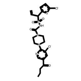 C=CC(c1ccc(Cl)s1)S(=O)(=O)NC(=O)N1CCN(c2ncc(C(=O)CCC)cc2Cl)CC1